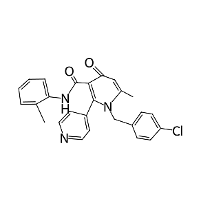 Cc1ccccc1NC(=O)c1c(-c2ccncc2)n(Cc2ccc(Cl)cc2)c(C)cc1=O